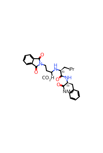 CNC(=O)[C@H](Cc1ccccc1)NC(=O)[C@H](CC(C)C)NC(CCN1C(=O)c2ccccc2C1=O)C(=O)O